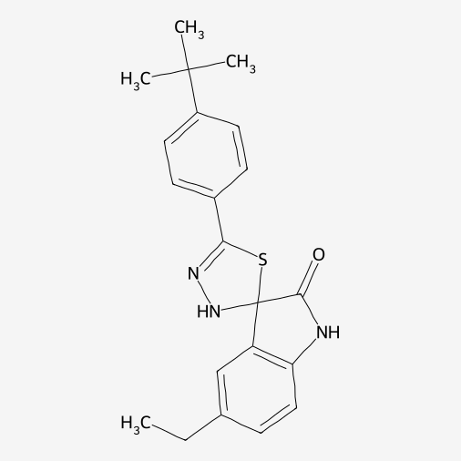 CCc1ccc2c(c1)C1(NN=C(c3ccc(C(C)(C)C)cc3)S1)C(=O)N2